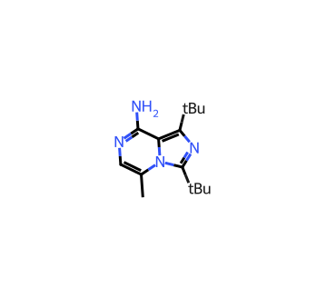 Cc1cnc(N)c2c(C(C)(C)C)nc(C(C)(C)C)n12